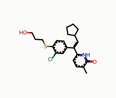 Cc1ccc(/C(=C/C2CCCC2)c2ccc(SCCCO)c(Cl)c2)[nH]c1=O